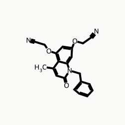 Cc1cc(=O)n(Cc2ccccc2)c2cc(OCC#N)cc(OCC#N)c12